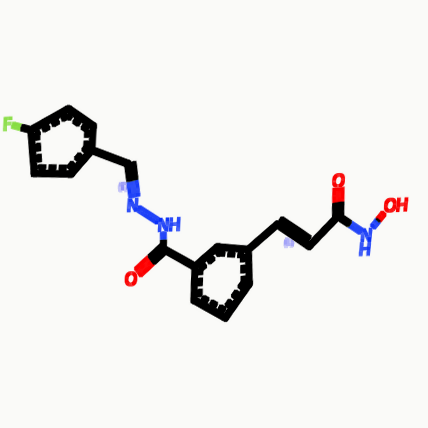 O=C(/C=C/c1cccc(C(=O)N/N=C/c2ccc(F)cc2)c1)NO